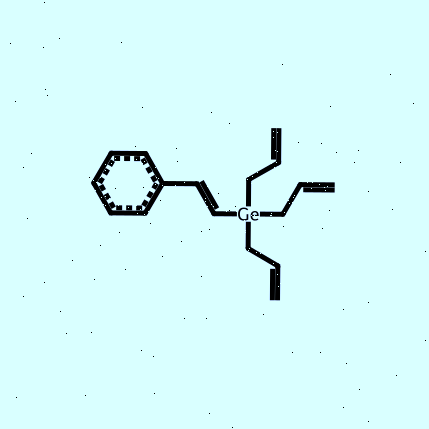 C=C[CH2][Ge]([CH]=Cc1ccccc1)([CH2]C=C)[CH2]C=C